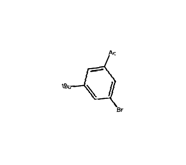 CC(=O)c1cc(Br)cc(C(C)(C)C)c1